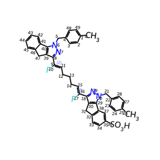 Cc1ccc(Cn2nc(/C(F)=C/CCC/C=C(\F)c3nn(Cc4ccc(C)cc4)c4c3Cc3ccc(S(=O)(=O)O)cc3-4)c3c2-c2ccccc2C3)cc1